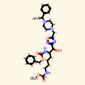 CCCC(c1ccccc1)N1CCN(Cc2nc(C(O)C(CCCCNC(=O)OC(C)(C)C)NC(=O)OCc3ccccc3)no2)CC1